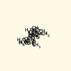 CCOC(=O)C[C@H](NC(=O)[C@H](CC(C)C)NC(=O)OC(C)(C)C)c1cc(B2OC(C)(C)C(C)(C)O2)cc(F)c1F